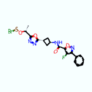 C[C@@H](OSBr)c1nnc([C@H]2C[C@H](NC(=O)c3onc(-c4ccccc4)c3F)C2)o1